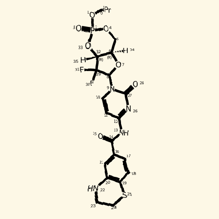 CC(C)OP1(=O)OC[C@H]2OC(n3ccc(NC(=O)c4ccc5c(c4)NCCS5)nc3=O)C(F)(F)[C@@H]2O1